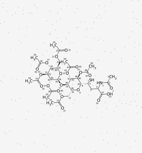 CC(=O)NC(CC(S)[C@@H]1O[C@H](COC(C)=O)[C@@H](O[C@@H]2O[C@H](COC(C)=O)[C@@H](OC(C)=O)[C@H](OC(C)=O)[C@H]2OC(C)=O)[C@H](OC(C)=O)[C@H]1OC(C)=O)C(=O)O